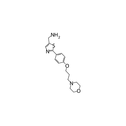 NCc1cnc(-c2ccc(OCCCN3CCOCC3)cc2)s1